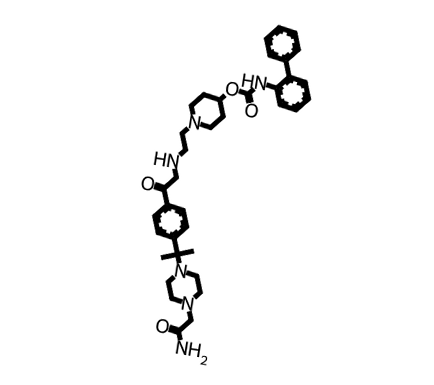 CC(C)(c1ccc(C(=O)CNCCN2CCC(OC(=O)Nc3ccccc3-c3ccccc3)CC2)cc1)N1CCN(CC(N)=O)CC1